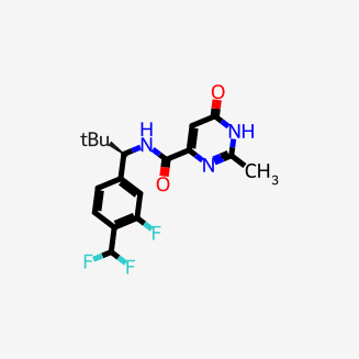 Cc1nc(C(=O)N[C@@H](c2ccc(C(F)F)c(F)c2)C(C)(C)C)cc(=O)[nH]1